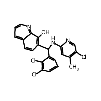 Cc1cc(NC(c2cccc(Cl)c2Cl)c2ccc3cccnc3c2O)ncc1Cl